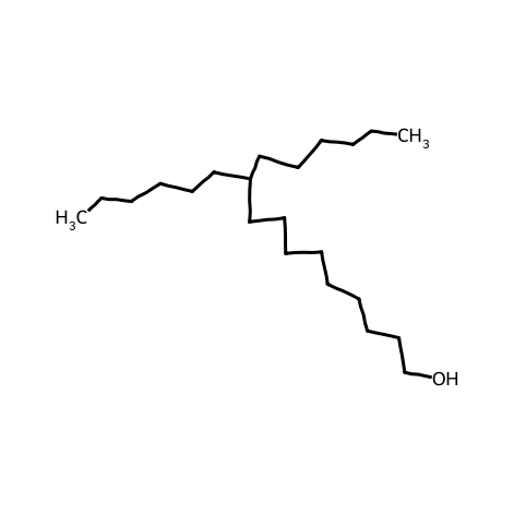 CCCCCCC(CCCCCC)CCCCCCCCCO